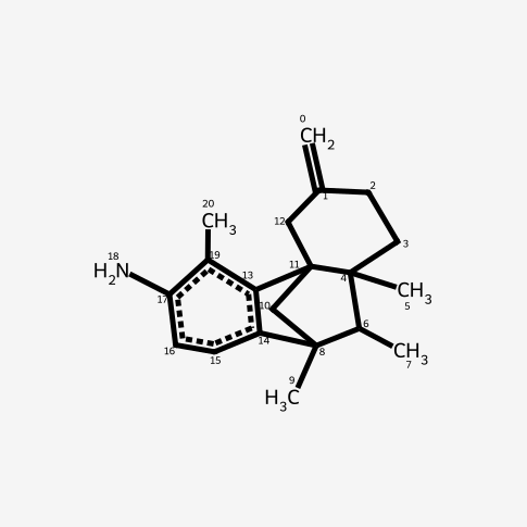 C=C1CCC2(C)C(C)C3(C)CC2(C1)c1c3ccc(N)c1C